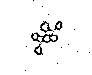 c1ccc(N(c2ccccc2)c2cccc3cc4c(cc23)c2ccccc2n4-c2ccccc2)cc1